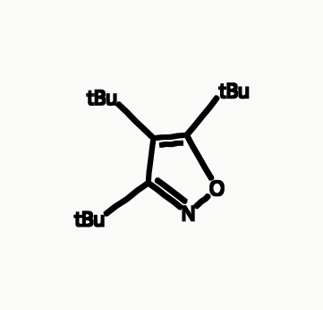 CC(C)(C)c1noc(C(C)(C)C)c1C(C)(C)C